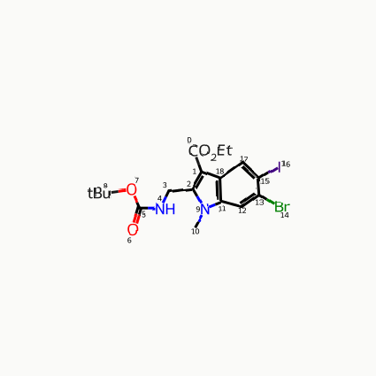 CCOC(=O)c1c(CNC(=O)OC(C)(C)C)n(C)c2cc(Br)c(I)cc12